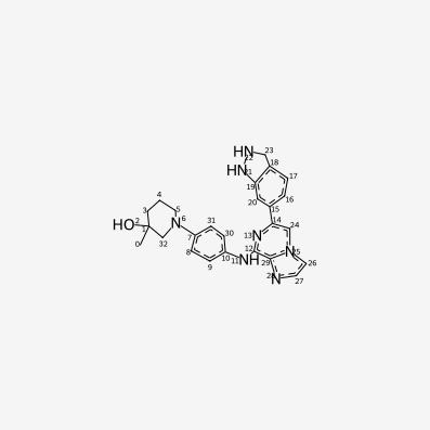 CC1(O)CCCN(c2ccc(Nc3nc(-c4ccc5c(c4)NNC5)cn4ccnc34)cc2)C1